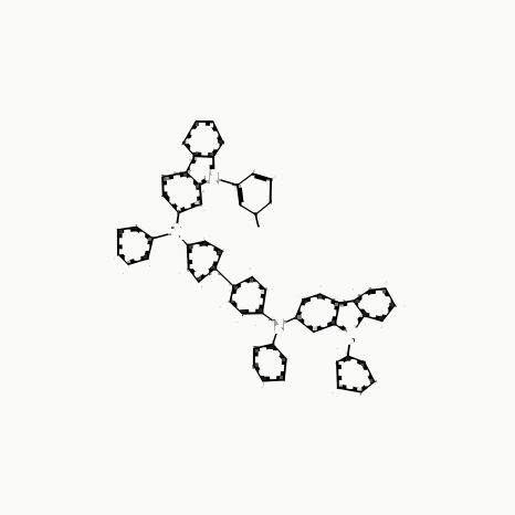 CC1C=C(n2c3ccccc3c3ccc(N(c4ccccc4)c4ccc(-c5ccc(N(c6ccccc6)c6ccc7c8ccccc8n(-c8ccccc8)c7c6)cc5)cc4)cc32)C=CC1